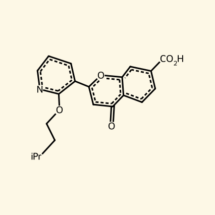 CC(C)CCOc1ncccc1-c1cc(=O)c2ccc(C(=O)O)cc2o1